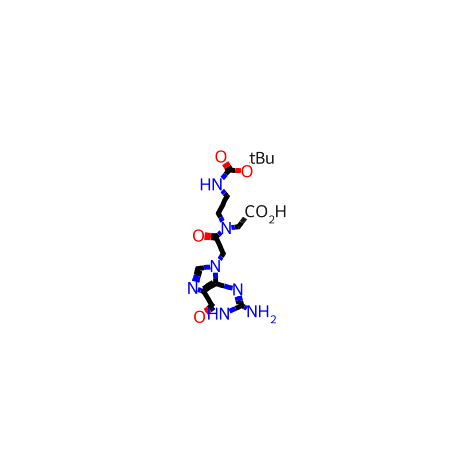 CC(C)(C)OC(=O)NCCN(CC(=O)O)C(=O)Cn1cnc2c(=O)[nH]c(N)nc21